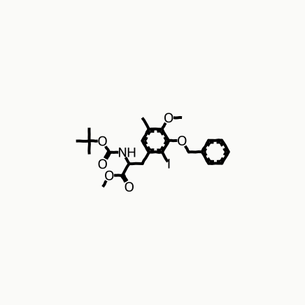 COC(=O)C(Cc1cc(C)c(OC)c(OCc2ccccc2)c1I)NC(=O)OC(C)(C)C